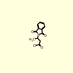 CC(CC(=O)Cl)N1C(=O)c2ccccc2C1=O